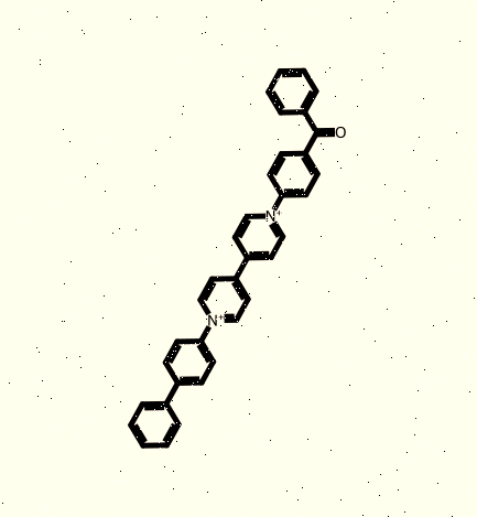 O=C(c1ccccc1)c1ccc(-[n+]2ccc(-c3cc[n+](-c4ccc(-c5ccccc5)cc4)cc3)cc2)cc1